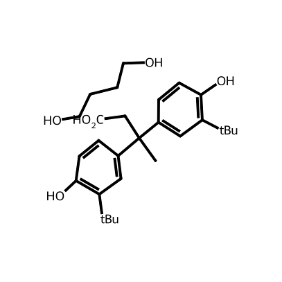 CC(C)(C)c1cc(C(C)(CC(=O)O)c2ccc(O)c(C(C)(C)C)c2)ccc1O.OCCCCO